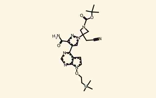 CC(C)(C)OC(=O)N1CC(CC#N)(n2cc(-c3ncnc4c3ccn4OCC[Si](C)(C)C)c(C(N)=O)n2)C1